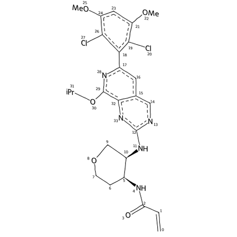 C=CC(=O)N[C@H]1CCOC[C@H]1Nc1ncc2cc(-c3c(Cl)c(OC)cc(OC)c3Cl)nc(OC(C)C)c2n1